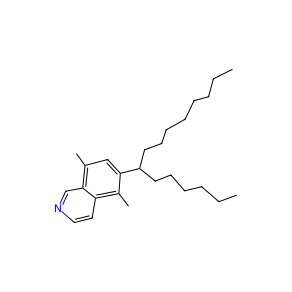 CCCCCCCCC(CCCCCC)c1cc(C)c2cnccc2c1C